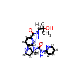 CC(C)(O)CNC(=O)c1ccc2c(n1)N(C(=O)Nc1ccccn1)[C@H]1CCN2C1